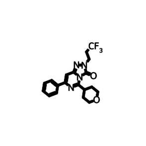 O=c1n(CCC(F)(F)F)nc2cc(-c3ccccc3)nc(C3CCOCC3)n12